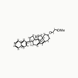 COCCO[C@@H]1CCC2=CC3=CC[C@@]4(C)C(c5ccc6ccncc6c5)CC[C@H]4[C@@]34CC[C@]2(C1)O4